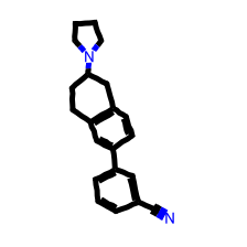 N#Cc1cccc(-c2ccc3c(c2)CCC(N2CCCC2)C3)c1